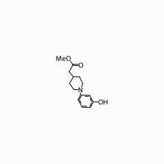 COC(=O)CC1CCN(c2cccc(O)c2)CC1